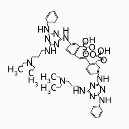 CCN(CC)CCCNc1nc(Nc2ccccc2)nc(Nc2ccc(/C=C/c3ccc(Nc4nc(NCCCN(CC)CC)nc(Nc5ccccc5)n4)cc3S(=O)(=O)O)c(S(=O)(=O)O)c2)n1